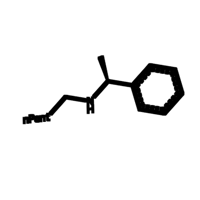 CCCCCCN[C@@H](C)c1ccccc1